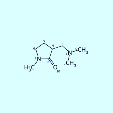 CN(C)CC1CCN(C)C1=O